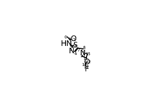 CC(=O)Nc1ncc(CN2CC(OCF)C2)s1